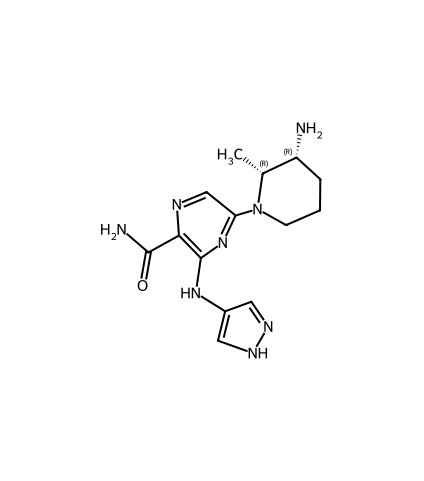 C[C@@H]1[C@H](N)CCCN1c1cnc(C(N)=O)c(Nc2cn[nH]c2)n1